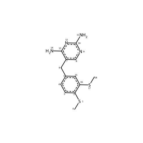 CSc1ccc(Cc2cnc(N)nc2N)cc1SC